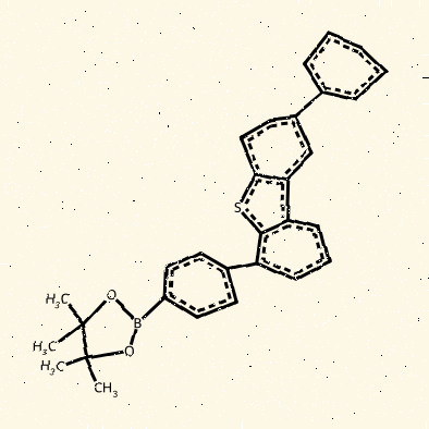 CC1(C)OB(c2ccc(-c3cccc4c3sc3ccc(-c5ccccc5)cc34)cc2)OC1(C)C